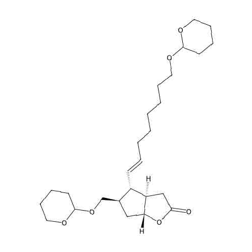 O=C1C[C@@H]2[C@@H](C=CCCCCCCOC3CCCCO3)[C@H](COC3CCCCO3)C[C@H]2O1